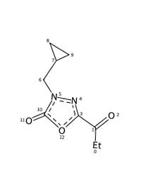 CCC(=O)c1nn(CC2CC2)c(=O)o1